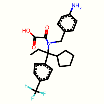 CCC(c1ccc(C(F)(F)F)cc1)(C1CCCC1)N(Cc1ccc(N)cc1)C(=O)C(=O)O